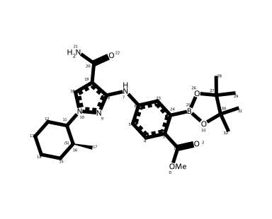 COC(=O)c1ccc(Nc2nn(C3CCCC[C@@H]3C)cc2C(N)=O)cc1B1OC(C)(C)C(C)(C)O1